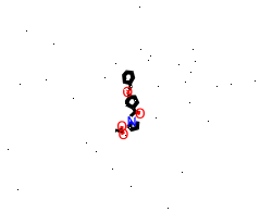 CC(=O)Oc1cccn1CC(=O)c1ccc(OCc2ccccc2)cc1